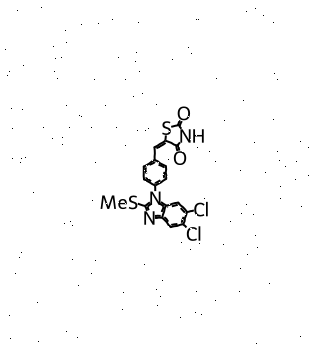 CSc1nc2cc(Cl)c(Cl)cc2n1-c1ccc(C=C2SC(=O)NC2=O)cc1